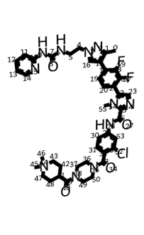 Cc1nn(CCNC(=O)Nc2ccccn2)cc1-c1ccc(-c2cnc(C(=O)Nc3ccc(C(=O)N4CCN(C(=O)C5CC[N+](C)(C)CC5)CC4)c(Cl)c3)n2C)c(F)c1F